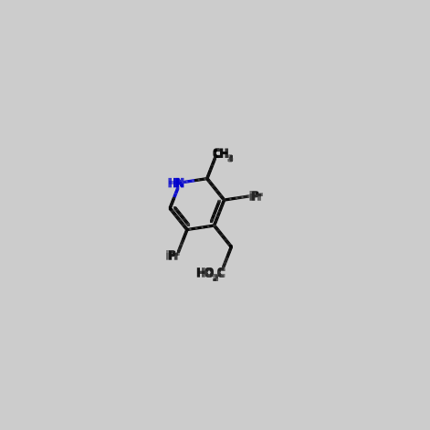 CC(C)C1=CNC(C)C(C(C)C)=C1CC(=O)O